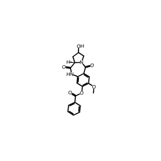 COc1cc2c(cc1OC(=O)c1ccccc1)NC(=O)[C@@H]1CC(O)CN1C2=O